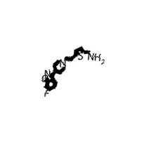 NCc1ccc(CCN2CCC(c3noc4cc(F)ccc34)CC2)s1